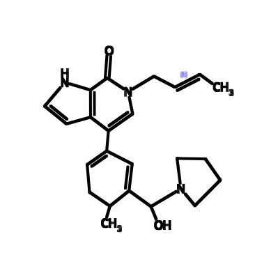 C/C=C/Cn1cc(C2=CCC(C)C(C(O)N3CCCC3)=C2)c2cc[nH]c2c1=O